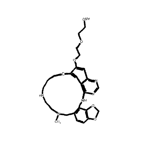 COCCOCCOc1cc2ncnc3c2cc1OCCCNCCN(C)Cc1ccc2c(c1N3)OCO2